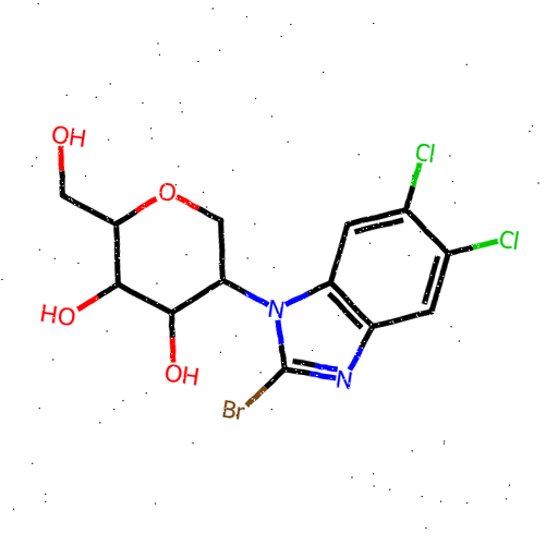 OCC1OCC(n2c(Br)nc3cc(Cl)c(Cl)cc32)C(O)C1O